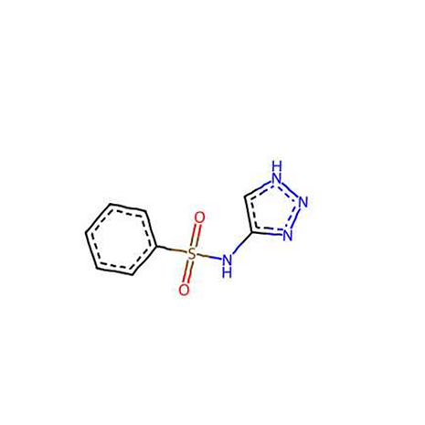 O=S(=O)(Nc1c[nH]nn1)c1ccccc1